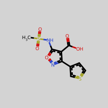 CS(=O)(=O)Nc1onc(-c2ccsc2)c1C(=O)O